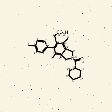 Cc1ccc(-c2c(C)c3c(c(C)c2CC(=O)O)CN(C(=O)C2CCCCC2)C3)cc1